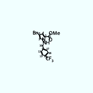 COC(=O)c1cc(Br)cn1NCc1ccc(C(F)(F)F)cc1